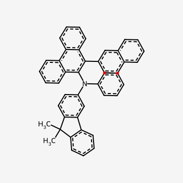 CC1(C)c2ccccc2-c2cc(N(c3ccccc3)c3c(-c4ccc5ccccc5c4)c4ccccc4c4ccccc34)ccc21